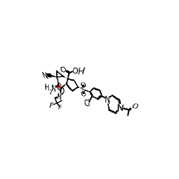 CC(=O)N1CCN(c2ccc(S(=O)(=O)[C@@H]3C[C@@H](C(=O)N4CC(F)(F)C4)[C@](C(=O)O)(C4CC4(C#N)C(N)=O)C3)c(Cl)c2)CC1